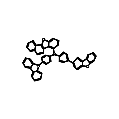 c1ccc2c(c1)ccc1c2oc2cccc(N(c3ccc(-c4ccc5oc6ccccc6c5c4)cc3)c3ccc(-n4c5ccccc5c5ccccc54)cc3)c21